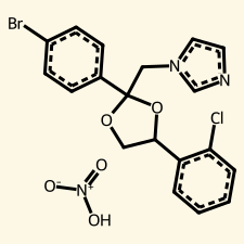 Clc1ccccc1C1COC(Cn2ccnc2)(c2ccc(Br)cc2)O1.O=[N+]([O-])O